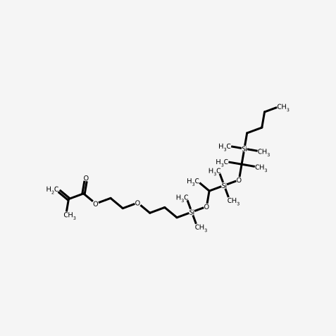 C=C(C)C(=O)OCCOCCC[Si](C)(C)OC(C)[Si](C)(C)OC(C)(C)[Si](C)(C)CCCC